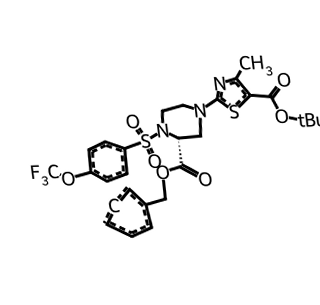 Cc1nc(N2CCN(S(=O)(=O)c3ccc(OC(F)(F)F)cc3)[C@@H](C(=O)OCc3ccccc3)C2)sc1C(=O)OC(C)(C)C